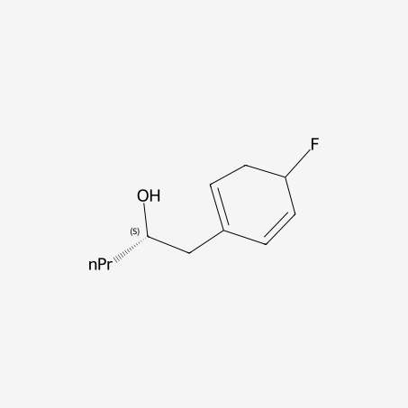 CCC[C@H](O)CC1=CCC(F)C=C1